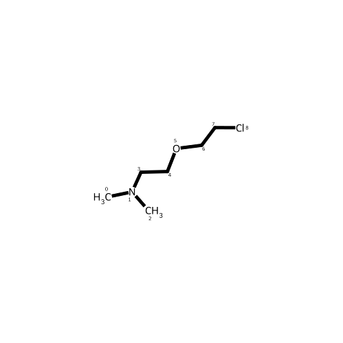 CN(C)CCOCCCl